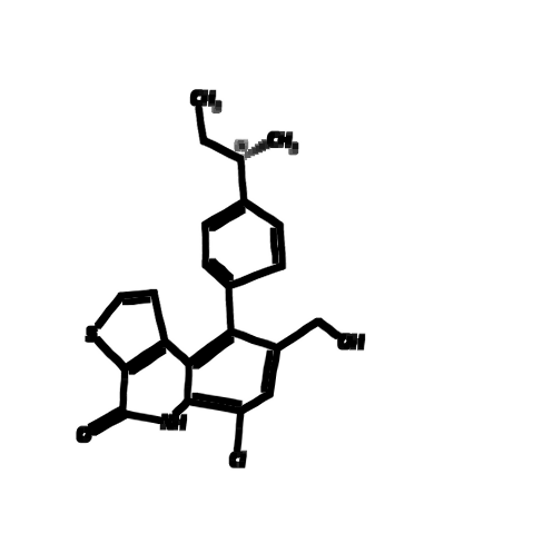 CC[C@H](C)c1ccc(-c2c(CO)cc(Cl)c3[nH]c(=O)c4sccc4c23)cc1